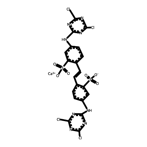 O=S(=O)([O-])c1cc(Nc2nc(Cl)nc(Cl)n2)ccc1C=Cc1ccc(Nc2nc(Cl)nc(Cl)n2)cc1S(=O)(=O)[O-].[Ca+2]